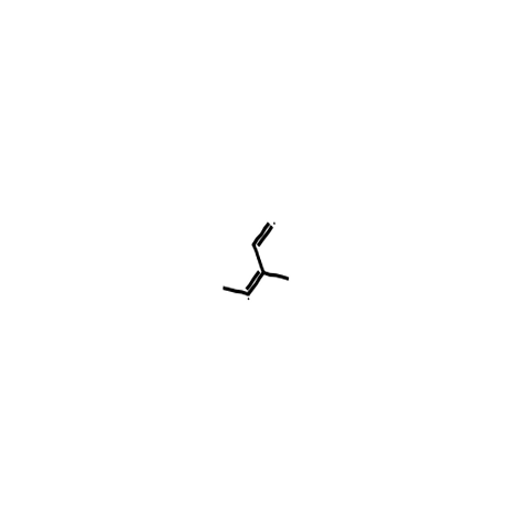 [CH]=C/C(C)=[C]\C